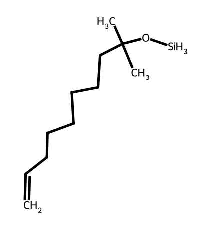 C=CCCCCCCC(C)(C)O[SiH3]